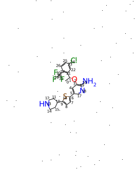 CC(Oc1cc(-c2ccc(C3CCNCC3)s2)cnc1N)c1cc(Cl)ccc1C(F)(F)F